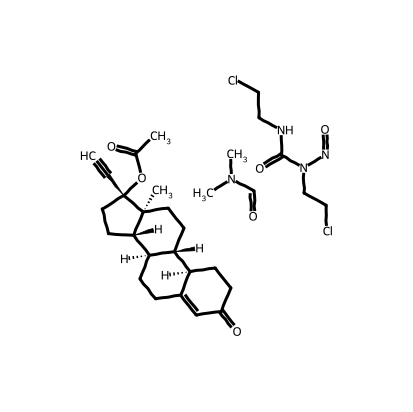 C#C[C@]1(OC(C)=O)CC[C@H]2[C@@H]3CCC4=CC(=O)CC[C@@H]4[C@H]3CC[C@@]21C.CN(C)C=O.O=NN(CCCl)C(=O)NCCCl